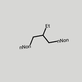 [CH2]CCCCCCCCCC(CC)CCCCCCCCC[CH2]